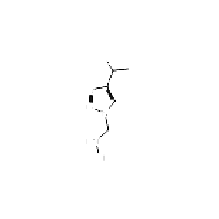 CNCn1cc(C(F)F)nn1